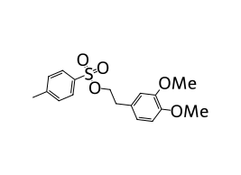 COc1ccc(CCOS(=O)(=O)c2ccc(C)cc2)cc1OC